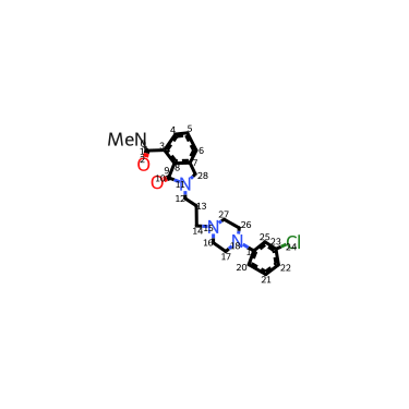 CNC(=O)c1cccc2c1C(=O)N(CCCN1CCN(c3cccc(Cl)c3)CC1)C2